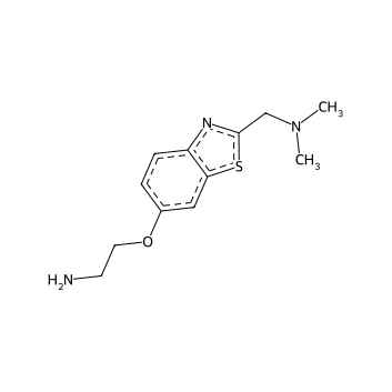 CN(C)Cc1nc2ccc(OCCN)cc2s1